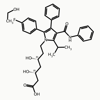 CC(C)c1c(C(=O)Nc2ccccc2)c(-c2ccccc2)c(-c2ccc(F)cc2)n1CC[C@@H](O)C[C@@H](O)CC(=O)O.CCO